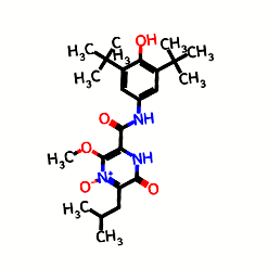 COc1c(C(=O)Nc2cc(C(C)(C)C)c(O)c(C(C)(C)C)c2)[nH]c(=O)c(CC(C)C)[n+]1[O-]